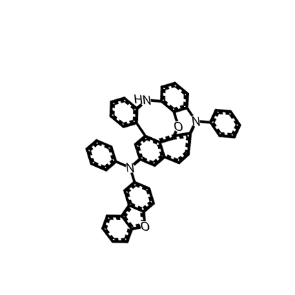 c1ccc(N(c2cc3c4c5c(ccc4c2)N(c2ccccc2)c2cccc(c2O5)Nc2ccccc2-3)c2ccc3oc4ccccc4c3c2)cc1